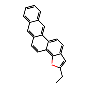 CCc1cc2ccc3c4cc5ccccc5cc4ccc3c2o1